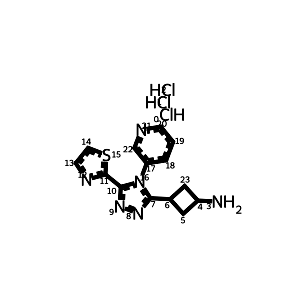 Cl.Cl.Cl.NC1CC(c2nnc(-c3nccs3)n2-c2cccnc2)C1